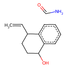 C=CC1CCC(O)c2ccccc21.NC=O